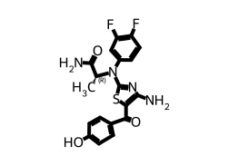 C[C@H](C(N)=O)N(c1ccc(F)c(F)c1)c1nc(N)c(C(=O)c2ccc(O)cc2)s1